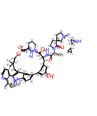 CCn1c(-c2cccnc2[C@H](C)OC)c2c3cc(ccc31)-c1cc(O)cc(c1)C[C@H](NC(=O)[C@H](C(C)C)N1CC[C@]3(CCN(C[C@@H]4N[C@@H]4C4CC4)C3)C1=O)C(=O)N1CCC[C@H](N1)C(=O)OCC(C)(C)C2